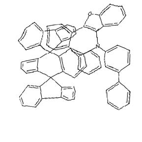 c1ccc(-c2cccc(N(c3ccc4c(c3)C3(c5ccccc5-c5ccccc53)c3ccccc3C43c4ccccc4-c4ccccc43)c3c(-c4ccccc4-c4ccccc4)oc4ccccc34)c2)cc1